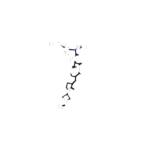 N=CN1CC(N2CCC(=CC3=C(C(=O)O)N4C(=O)[C@@H](NC(=O)/C(=N\O)c5nsc(N)n5)[C@H]4SC3)C2=O)C1